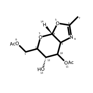 CC(=O)OCC1O[C@@H]2OC(C)=NC2C(OC(C)=O)[C@@H]1O